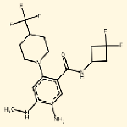 CNc1cc(N2CCC(C(F)(F)F)CC2)c(C(=O)NC2CC(F)(F)C2)cc1N